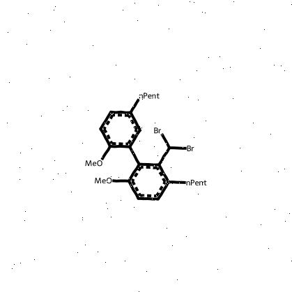 CCCCCc1ccc(OC)c(-c2c(OC)ccc(CCCCC)c2C(Br)Br)c1